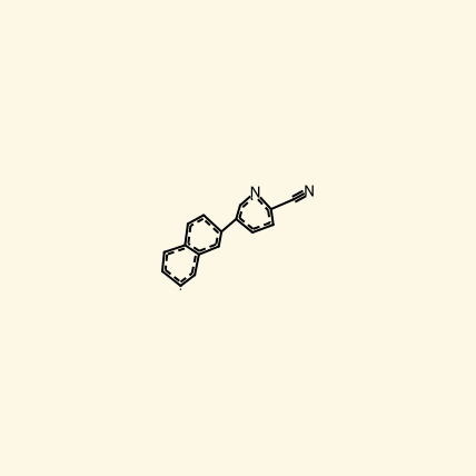 N#Cc1ccc(-c2ccc3cc[c]cc3c2)cn1